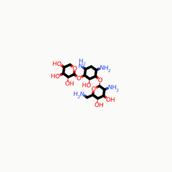 NCC1O[C@H](OC2C(N)CC(N)C(OC3OCC(O)C(O)[C@H]3O)[C@H]2O)C(N)C(O)[C@@H]1O